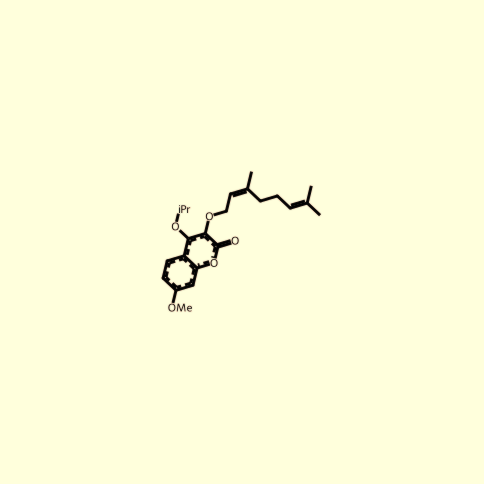 COc1ccc2c(OC(C)C)c(OCC=C(C)CCC=C(C)C)c(=O)oc2c1